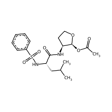 CC(=O)O[C@@H]1OCC[C@@H]1NC(=O)[C@H](CC(C)C)NS(=O)(=O)c1ccccc1